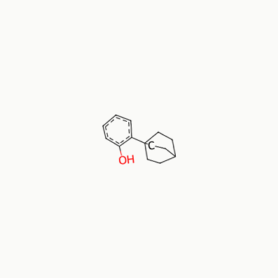 Oc1ccccc1C12CCC(CC1)CC2